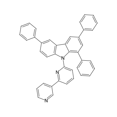 c1ccc(-c2ccc3c(c2)c2cc(-c4ccccc4)cc(-c4ccccc4)c2n3-c2cccc(-c3cccnc3)n2)cc1